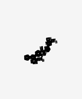 Cn1nc(-c2ccc([S+]([O-])Nc3ccc(-c4cn(C5CCCC5)c5ncnc(N)c45)cc3F)s2)cc1C(F)(F)F